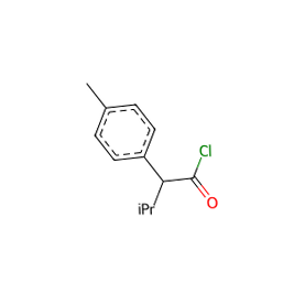 Cc1ccc(C(C(=O)Cl)C(C)C)cc1